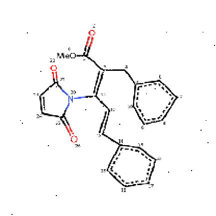 COC(=O)C(Cc1ccccc1)=C(C=Cc1ccccc1)N1C(=O)C=CC1=O